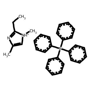 CCC1=NC(C)=C[NH+]1C.c1ccc([B-](c2ccccc2)(c2ccccc2)c2ccccc2)cc1